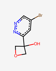 OC1(c2cc(Br)cnn2)COC1